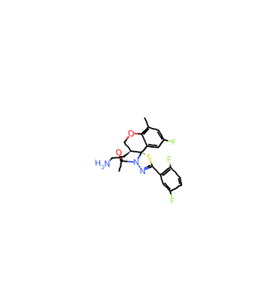 CC(=O)N1N=C(c2cc(F)ccc2F)S[C@]12c1cc(F)cc(C)c1OC[C@@H]2CCN